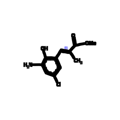 COC(=O)/C(C)=C/c1cc(Cl)cc(N)c1O